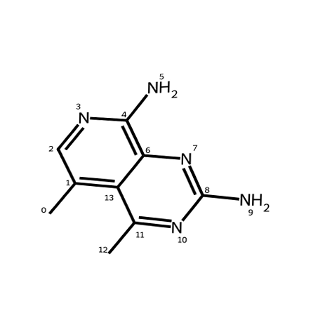 Cc1cnc(N)c2nc(N)nc(C)c12